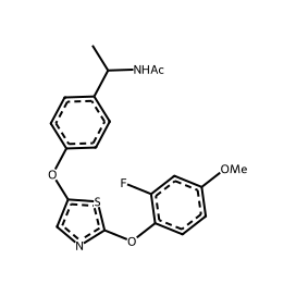 COc1ccc(Oc2ncc(Oc3ccc(C(C)NC(C)=O)cc3)s2)c(F)c1